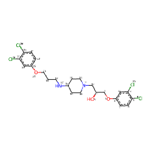 O[C@H](COc1ccc(Cl)c(Cl)c1)CN1CCC(NCCCOc2ccc(Cl)c(Cl)c2)CC1